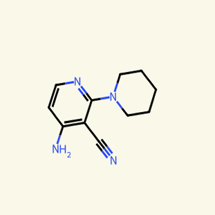 N#Cc1c(N)ccnc1N1CCCCC1